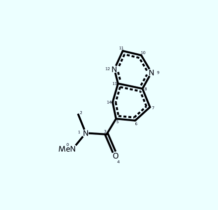 CNN(C)C(=O)c1ccc2nccnc2c1